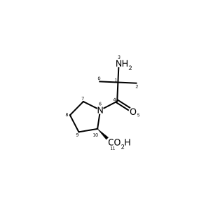 CC(C)(N)C(=O)N1CCC[C@@H]1C(=O)O